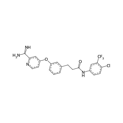 N=C(N)c1cc(Oc2cccc(CCC(=O)Nc3ccc(Cl)c(C(F)(F)F)c3)c2)ccn1